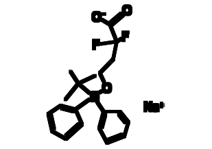 CC(C)(C)[Si](OCCC(F)(F)C(=O)[O-])(c1ccccc1)c1ccccc1.[Na+]